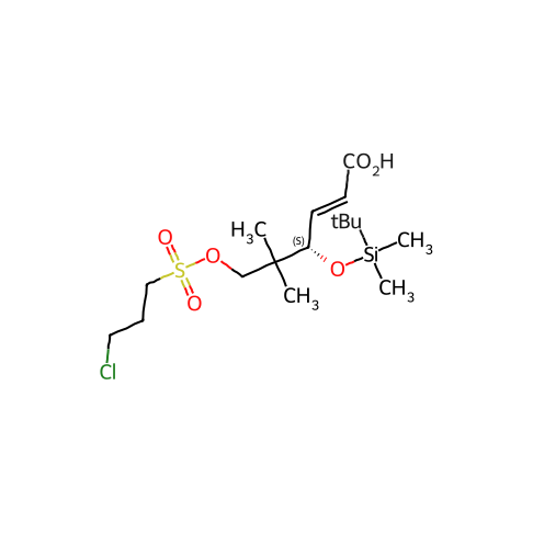 CC(C)(COS(=O)(=O)CCCCl)[C@H](C=CC(=O)O)O[Si](C)(C)C(C)(C)C